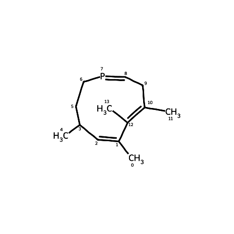 CC1=C/C(C)CC/P=C\C\C(C)=C\1C